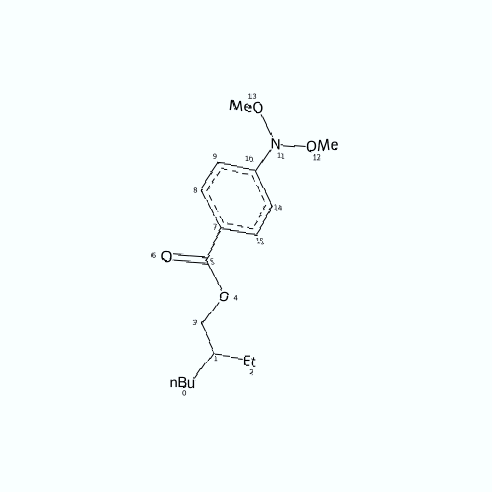 CCCCC(CC)COC(=O)c1ccc(N(OC)OC)cc1